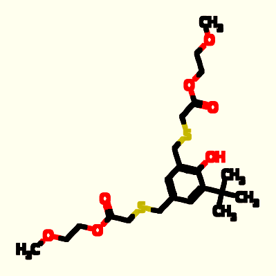 COCCOC(=O)CSCc1cc(CSCC(=O)OCCOC)c(O)c(C(C)(C)C)c1